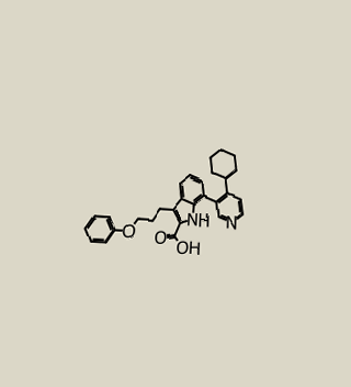 O=C(O)c1[nH]c2c(-c3cnccc3C3CCCCC3)cccc2c1CCCOc1ccccc1